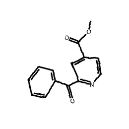 COC(=O)c1ccnc(C(=O)c2ccccc2)c1